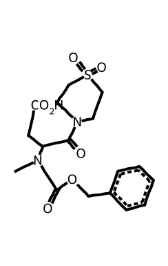 CN(C(=O)OCc1ccccc1)C(CC(=O)O)C(=O)N1CCS(=O)(=O)CC1